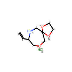 C=CC1COCC2(CN1)OCCO2.Cl